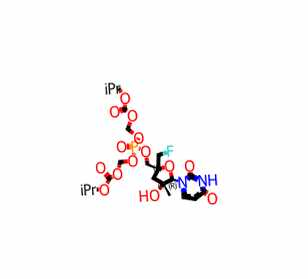 CC(C)OC(=O)OCOP(=O)(OCOC(=O)OC(C)C)OC[C@]1(CF)C[C@@](C)(O)[C@H](n2ccc(=O)[nH]c2=O)O1